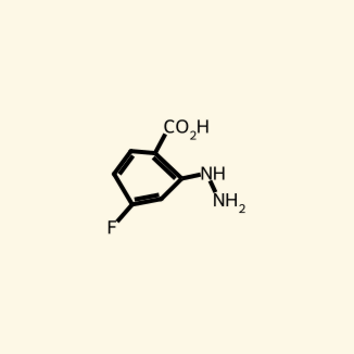 NNc1cc(F)ccc1C(=O)O